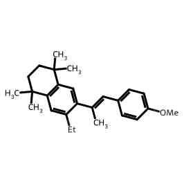 CCc1cc2c(cc1/C(C)=C/c1ccc(OC)cc1)C(C)(C)CCC2(C)C